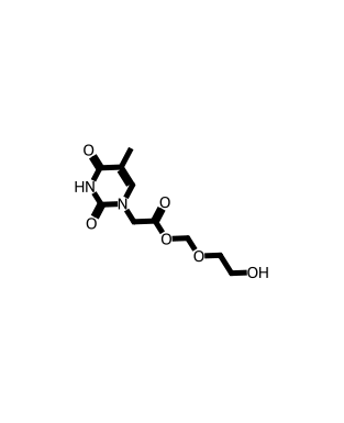 Cc1cn(CC(=O)OCOCCO)c(=O)[nH]c1=O